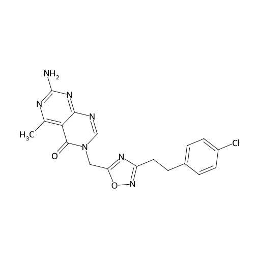 Cc1nc(N)nc2ncn(Cc3nc(CCc4ccc(Cl)cc4)no3)c(=O)c12